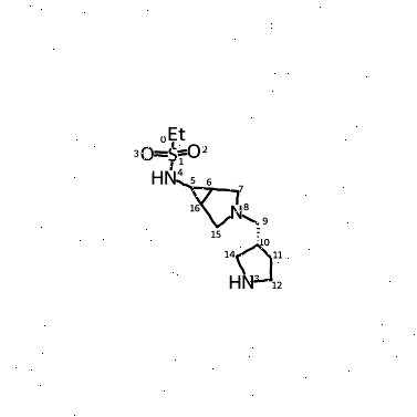 CCS(=O)(=O)NC1C2CN(C[C@@H]3CCNC3)CC21